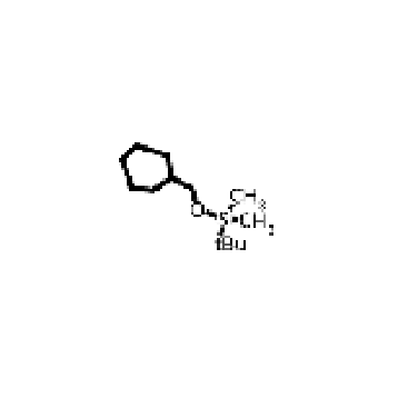 CC(C)(C)[Si](C)(C)OC[C]1CCCCC1